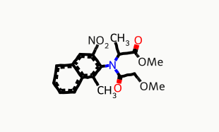 COCC(=O)N(c1c([N+](=O)[O-])cc2ccccc2c1C)C(C)C(=O)OC